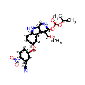 COCc1c(OC(=O)OC(C)C)ncc2[nH]c3ccc(Oc4ccc([N+](=O)[O-])c(C#N)c4)cc3c12